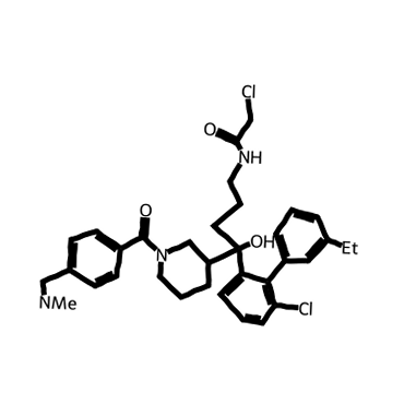 CCc1cccc(-c2c(Cl)cccc2C(O)(CCCNC(=O)CCl)C2CCCN(C(=O)c3ccc(CNC)cc3)C2)c1